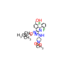 C[Si](C)(C)CCOCn1nc(NC2CCN(S(C)(=O)=O)CC2)c2nc(-c3c(F)cccc3F)c3cc(CO)ccc3c21